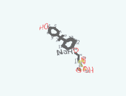 CC(C)(c1ccc(O)cc1)c1ccc(OCCCS(=O)(=O)O)cc1.[NaH]